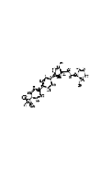 Cc1oc(-c2ccc(-c3ccc(S(C)(=O)=O)cc3)cc2)nc1CCN1CCCC1C